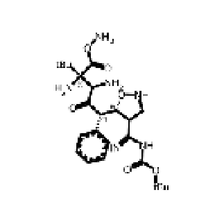 CC(C)(C)OC(=O)NC(=N)C1CNO[C@H]1[C@@H](C(=O)C(N)[C@](N)(C(=O)ON)C(C)(C)C)c1ccccc1